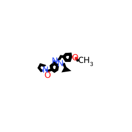 CCOc1ccc(Cc2nc3cc(C(=O)N4CCCC4)ccc3n2CC2CC2)cc1